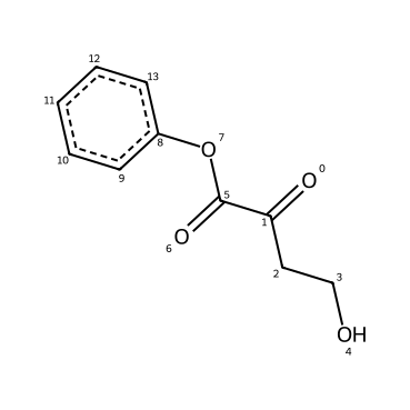 O=C(CCO)C(=O)Oc1ccccc1